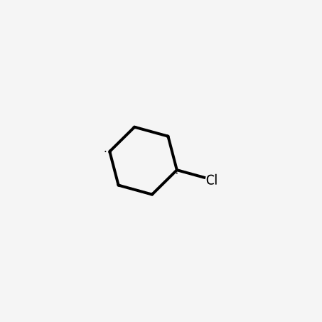 Cl[C]1CC[CH]CC1